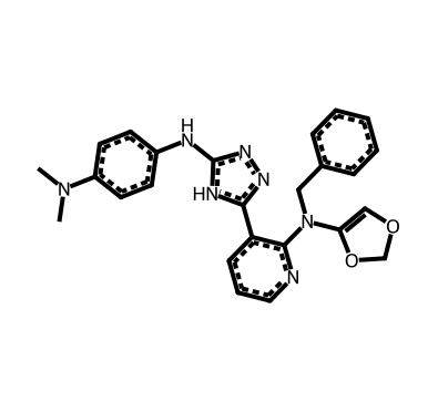 CN(C)c1ccc(Nc2nnc(-c3cccnc3N(Cc3ccccc3)C3=COCO3)[nH]2)cc1